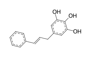 Oc1cc(CC=Cc2ccccc2)cc(O)c1O